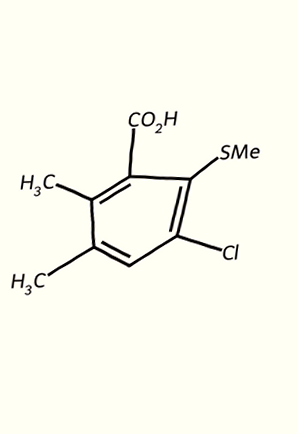 CSc1c(Cl)cc(C)c(C)c1C(=O)O